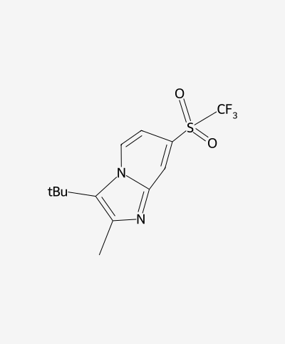 Cc1nc2cc(S(=O)(=O)C(F)(F)F)ccn2c1C(C)(C)C